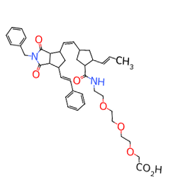 C/C=C/C1CC(/C=C\C2CC(/C=C/c3ccccc3)C3C(=O)N(Cc4ccccc4)C(=O)C23)CC1C(=O)NCCOCCOCCOCC(=O)O